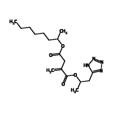 C=C(CC(=O)OC(C)CCCCCC)C(=O)OC(C)Cc1nnn[nH]1